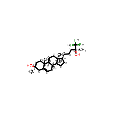 C[C@]1(O)CC[C@@]2(C)C(=CC[C@H]3[C@@H]4CC[C@H](CCC[C@](C)(O)C(F)(F)F)[C@@]4(C)CC[C@@H]32)C1